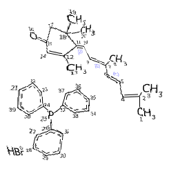 Br.CC(C)=C/C=C/C(C)=C/C=C1\C(C)=CC(=O)CC1(C)C.c1ccc(P(c2ccccc2)c2ccccc2)cc1